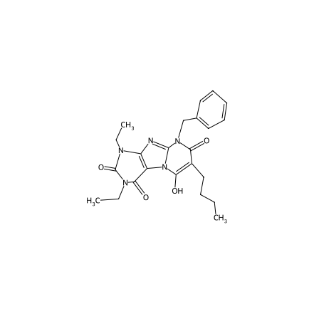 CCCCc1c(O)n2c3c(=O)n(CC)c(=O)n(CC)c3nc2n(Cc2ccccc2)c1=O